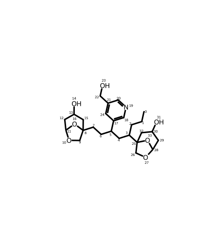 CCCC(CC(CCC12COC(CC(O)C1)O2)c1cncc(CO)c1)C12COC(CC(O)C1)O2